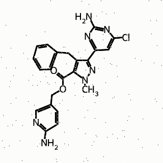 Cn1nc(-c2cc(Cl)nc(N)n2)c(Cc2ccccc2)c1C(=O)OCc1ccc(N)nc1